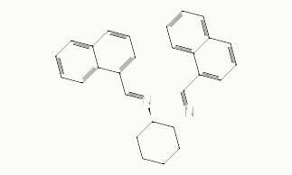 C(=N[C@@H]1CCCC[C@H]1N=Cc1cccc2ccccc12)c1cccc2ccccc12